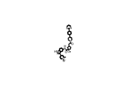 CO[C@@]1(C(=O)Nc2ccc3[nH]nc(-c4cc[n+]([O-])c(C)c4)c3c2)CCC(CC(=O)N2CC=C(c3ccc(-c4ncccn4)cc3)CC2)C1